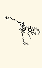 CCCCCCCCS(=O)(=O)c1nc(Nc2cc(C)c(O)c(C(C)(C)C)c2)nc(S(=O)(=O)CCCCCCCC)n1